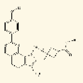 CCOc1ccc(-c2ncc3c(n2)-c2c(c(C(=O)O)c(CC4(N)CN(C(=O)OC(C)(C)C)C4)n2C)CC3)cc1